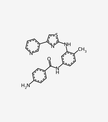 Cc1ccc(NC(=O)c2ccc(N)cc2)cc1Nc1nc(-c2cccnc2)cs1